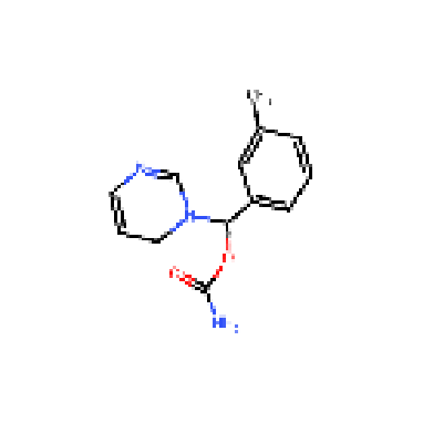 NC(=O)OC(c1cccc(C(F)(F)F)c1)N1C=NC=CC1